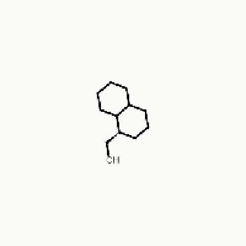 OC[C@@H]1CCCC2CCCCC21